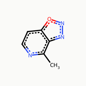 Cc1nccc2onnc12